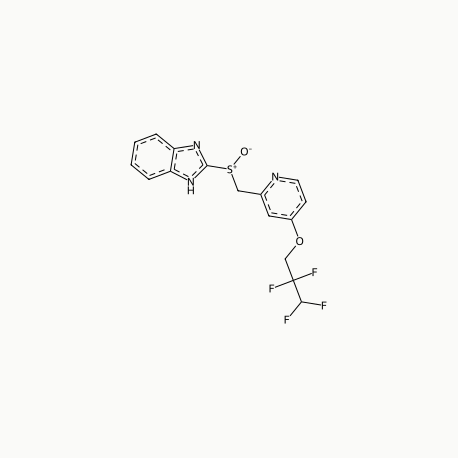 [O-][S+](Cc1cc(OCC(F)(F)C(F)F)ccn1)c1nc2ccccc2[nH]1